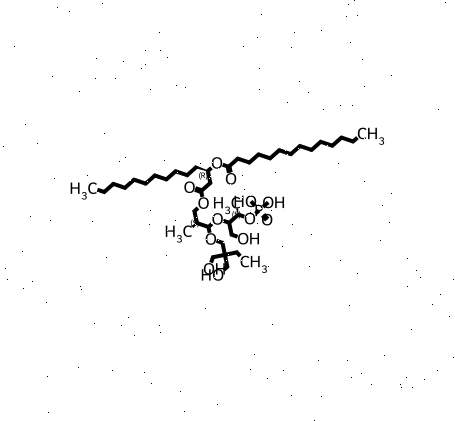 CCCCCCCCCCCCCC(=O)O[C@H](CCCCCCCCCCC)CC(=O)OC[C@H](C)C(OCC(CC)(CO)CO)OC(CO)[C@H](C)OP(=O)(O)O